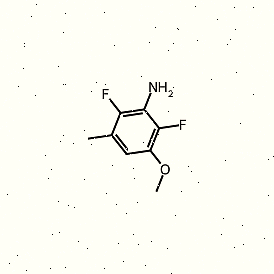 COc1cc(C)c(F)c(N)c1F